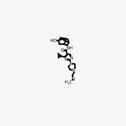 COCCN1CCN(c2ncc(C(=O)NC3C4CC5CC3CC(O)(C5)C4)c(C3CC3)n2)CC1